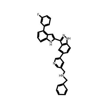 Fc1cccc(-c2cccc3[nH]c(-c4n[nH]c5ccc(-c6cncc(CNCc7ccccc7)c6)cc45)cc23)c1